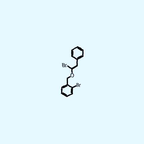 Brc1ccccc1COC(Br)Cc1ccccc1